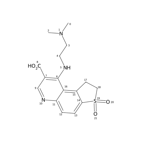 CN(C)CCNc1c(C(=O)O)cnc2ccc3c(c12)CCS3(=O)=O